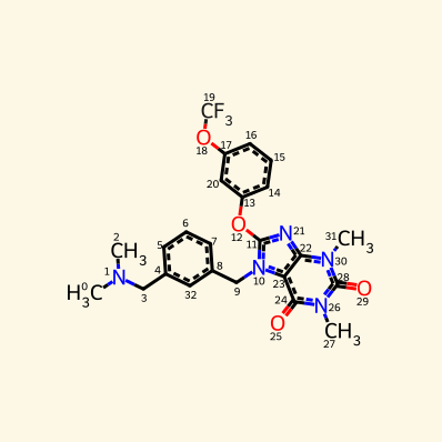 CN(C)Cc1cccc(Cn2c(Oc3cccc(OC(F)(F)F)c3)nc3c2c(=O)n(C)c(=O)n3C)c1